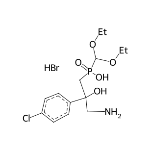 Br.CCOC(OCC)P(=O)(O)CC(O)(CN)c1ccc(Cl)cc1